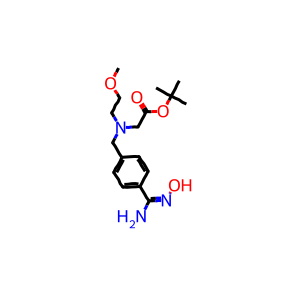 COCCN(CC(=O)OC(C)(C)C)Cc1ccc(/C(N)=N\O)cc1